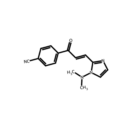 CN(C)n1ccnc1/C=C/C(=O)c1ccc(C#N)cc1